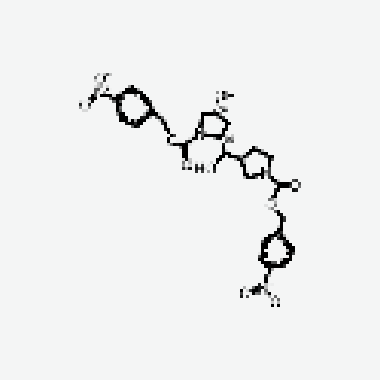 O=C(OCc1ccc([N+](=O)[O-])cc1)N1CCC(C(O)[C@@H]2C[C@@H](O)CN2C(=O)OCc2ccc([N+](=O)[O-])cc2)C1